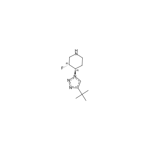 CC(C)(C)c1cn([C@@H]2CCNC[C@H]2F)nn1